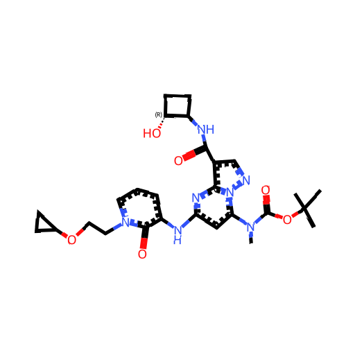 CN(C(=O)OC(C)(C)C)c1cc(Nc2cccn(CCOC3CC3)c2=O)nc2c(C(=O)NC3CC[C@H]3O)cnn12